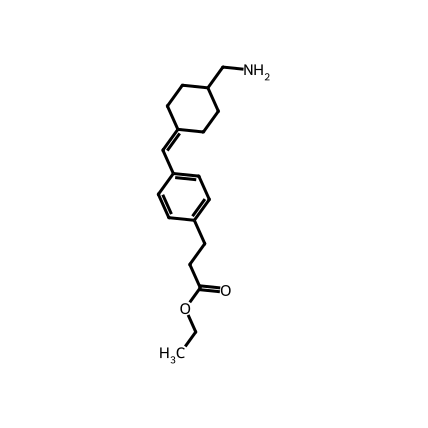 CCOC(=O)CCc1ccc(C=C2CCC(CN)CC2)cc1